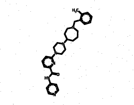 Cc1ccccc1CN1CCCC(N2CCN(c3cccc(C(=O)Nc4ccncc4)n3)CC2)CC1